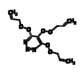 C=CCOOc1nnnc(OOCC=C)c1OOCC=C